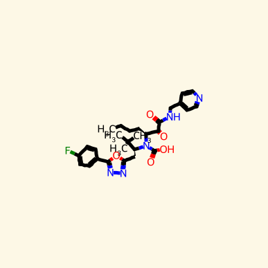 CCCC[C@@H](C(=O)C(=O)NCc1ccncc1)N(C(=O)O)[C@H](Cc1nnc(-c2ccc(F)cc2)o1)C(C)(C)C